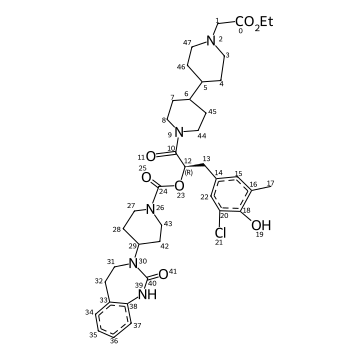 CCOC(=O)CN1CCC(C2CCN(C(=O)[C@@H](Cc3cc(C)c(O)c(Cl)c3)OC(=O)N3CCC(N4CCc5ccccc5NC4=O)CC3)CC2)CC1